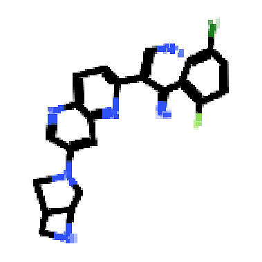 N=C(/C(=C\N)c1ccc2ncc(N3CC4CNC4C3)cc2n1)c1cc(Cl)ccc1F